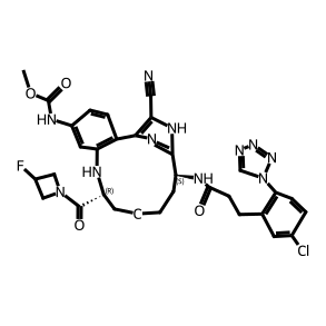 COC(=O)Nc1ccc2c(c1)N[C@@H](C(=O)N1CC(F)C1)CCCC[C@H](NC(=O)CCc1cc(Cl)ccc1-n1cnnn1)c1nc-2c(C#N)[nH]1